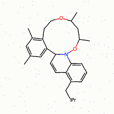 Cc1cc(C)c2c(c1)C1C=Cc3c(CC(C)C)cccc3N1OC(C)CC(C)OCC2